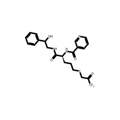 O=C(N[C@@H](CCCSCC(=O)C(F)(F)F)C(=O)NCC(O)c1ccccc1)c1cccnc1